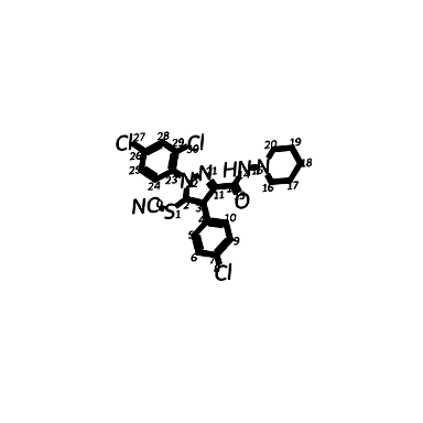 N#CSC1C(c2ccc(Cl)cc2)C(C(=O)NN2CCCCC2)=NN1c1ccc(Cl)cc1Cl